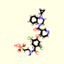 CN(CCS(=O)(=O)O)C(=O)c1cc(Cl)c(Oc2ccncc2C(=O)N2CCN(C3CC3)c3ccccc32)cc1Cl